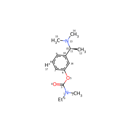 CCN(C)C(=O)Oc1cccc([C@H](C)N(C)C)c1.[H+]